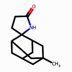 CC12CC3CC(C1)C1(CCC(=O)N1)C(C3)C2